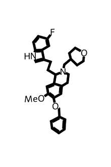 COc1cc2c(cc1OCc1ccccc1)CCN(CC1CCOCC1)C2CCc1c[nH]c2ccc(F)cc12